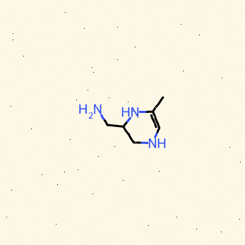 CC1=CNCC(CN)N1